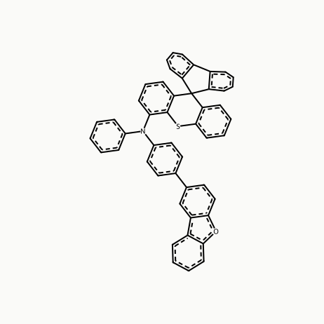 c1ccc(N(c2ccc(-c3ccc4oc5ccccc5c4c3)cc2)c2cccc3c2Sc2ccccc2C32c3ccccc3-c3ccccc32)cc1